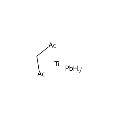 CC(=O)CC(C)=O.[PbH2].[Ti]